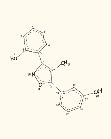 Cc1c(-c2ccccc2O)noc1-c1cccc(O)c1